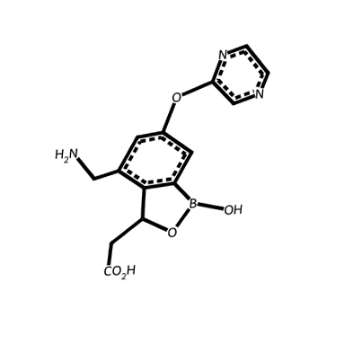 NCc1cc(Oc2cnccn2)cc2c1C(CC(=O)O)OB2O